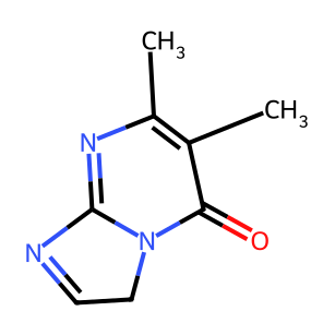 Cc1nc2n(c(=O)c1C)CC=N2